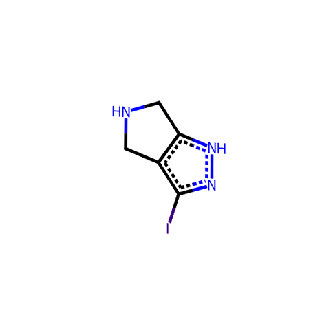 Ic1n[nH]c2c1CNC2